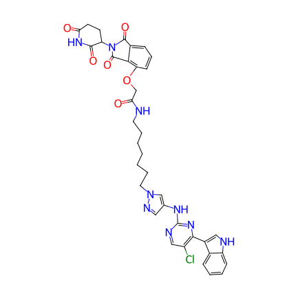 O=C(COc1cccc2c1C(=O)N(C1CCC(=O)NC1=O)C2=O)NCCCCCCCn1cc(Nc2ncc(Cl)c(-c3c[nH]c4ccccc34)n2)cn1